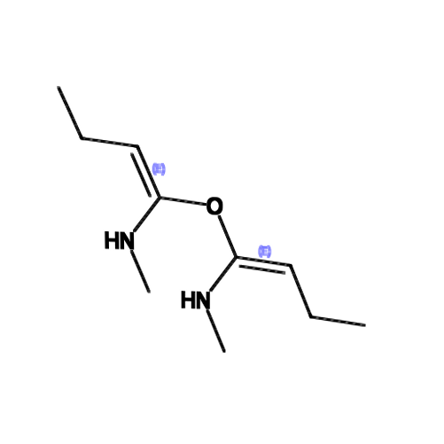 CC/C=C(\NC)O/C(=C/CC)NC